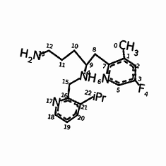 Cc1cc(F)cnc1CC(CCCN)NCc1ncccc1C(C)C